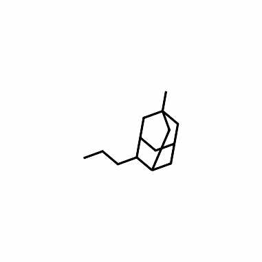 CCCC1C2CC3CC1CC(C)(C3)C2